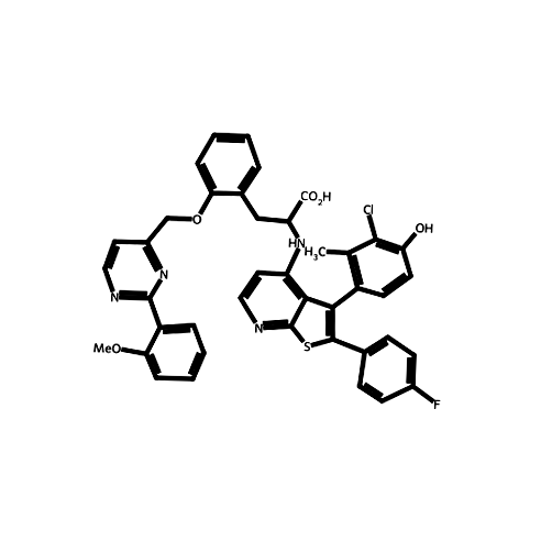 COc1ccccc1-c1nccc(COc2ccccc2CC(Nc2ccnc3sc(-c4ccc(F)cc4)c(-c4ccc(O)c(Cl)c4C)c23)C(=O)O)n1